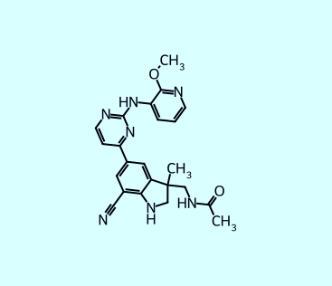 COc1ncccc1Nc1nccc(-c2cc(C#N)c3c(c2)C(C)(CNC(C)=O)CN3)n1